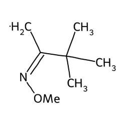 [CH2]C(=NOC)C(C)(C)C